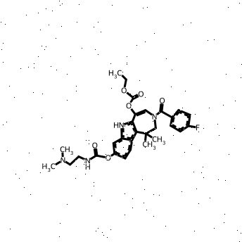 CCOC(=O)OC1=CN(C(=O)c2ccc(F)cc2)CC(C)(C)c2c1[nH]c1cc(OC(=O)NCCN(C)C)ccc21